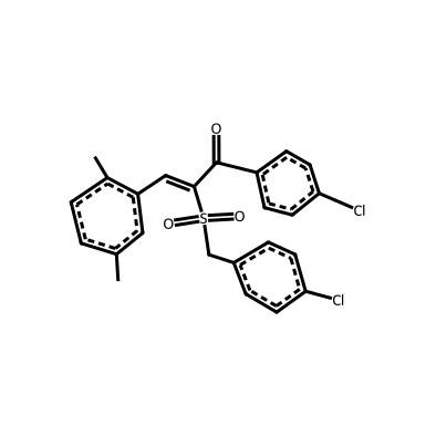 Cc1ccc(C)c(C=C(C(=O)c2ccc(Cl)cc2)S(=O)(=O)Cc2ccc(Cl)cc2)c1